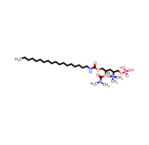 CCCCCCCCCCCCCCCCCCNC(=O)OCC(CC(COP(=O)(O)O)[N+](C)(C)C)OC(=O)N(C)C